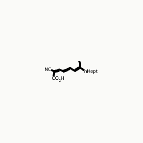 CCCCCCCC(C)=CC=CC=C(C#N)C(=O)O